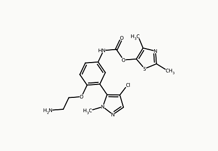 Cc1nc(C)c(OC(=O)Nc2ccc(OCCN)c(-c3c(Cl)cnn3C)c2)s1